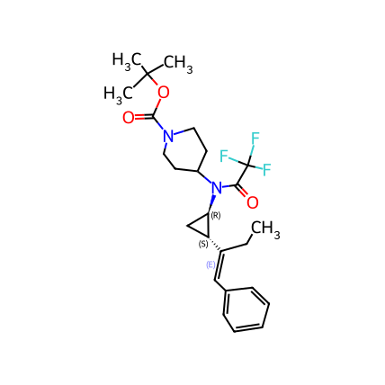 CC/C(=C\c1ccccc1)[C@@H]1C[C@H]1N(C(=O)C(F)(F)F)C1CCN(C(=O)OC(C)(C)C)CC1